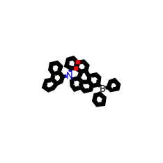 c1ccc(B(c2ccccc2)c2ccc3c4ccccc4c4c(N(c5ccccc5)c5cc6ccccc6c6ccccc56)ccc5ccc2c3c54)cc1